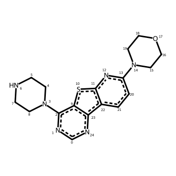 c1nc(N2CCNCC2)c2sc3nc(N4CCOCC4)ccc3c2n1